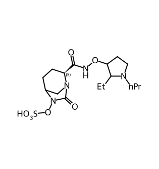 CCCN1CCC(ONC(=O)[C@@H]2CCC3CN2C(=O)N3OS(=O)(=O)O)C1CC